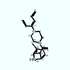 C=C/C=C(\C=C)N1CCN(C(=C)C2C3=CCC(C)=C2N3)CC1